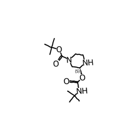 CC(C)(C)NC(=O)O[C@H]1CN(C(=O)OC(C)(C)C)CCN1